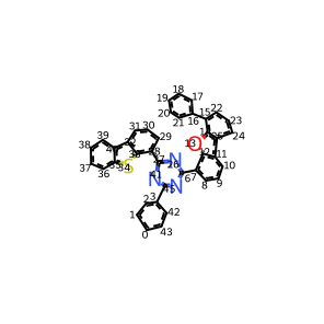 c1ccc(-c2nc(-c3cccc4c3oc3c(-c5ccccc5)cccc34)nc(-c3cccc4c3sc3ccccc34)n2)cc1